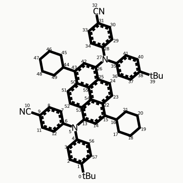 CC(C)(C)c1ccc(N(c2ccc(C#N)cc2)c2cc(C3CCCCC3)c3ccc4c(N(c5ccc(C#N)cc5)c5ccc(C(C)(C)C)cc5)cc(C5CCCCC5)c5ccc2c3c54)cc1